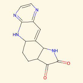 O=C1NC2C3=Cc4nccnc4NC3CCC2C1=O